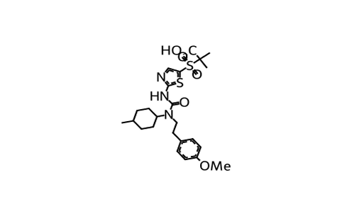 COc1ccc(CCN(C(=O)Nc2ncc(S(=O)(=O)C(C)(C)C(=O)O)s2)C2CCC(C)CC2)cc1